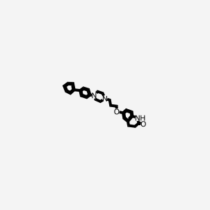 O=C1CCc2cc(OCCCN3CCN(c4ccc(-c5ccccc5)cc4)CC3)ccc2N1